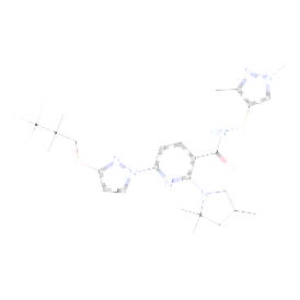 Cc1nn(C)cc1SNC(=O)c1ccc(-n2ccc(OCC(C)(C)C(F)(F)F)n2)nc1N1CC(C)CC1(C)C